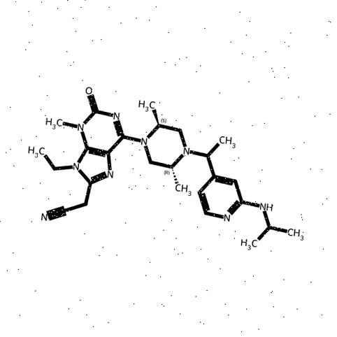 CCn1c(CC#N)nc2c(N3C[C@@H](C)N(C(C)c4ccnc(NC(C)C)c4)C[C@@H]3C)nc(=O)n(C)c21